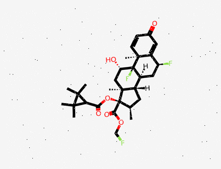 C[C@@H]1C[C@H]2[C@@H]3C[C@H](F)C4=CC(=O)C=C[C@]4(C)[C@@]3(F)[C@@H](O)C[C@]2(C)[C@@]1(OC(=O)C1C(C)(C)C1(C)C)C(=O)OCF